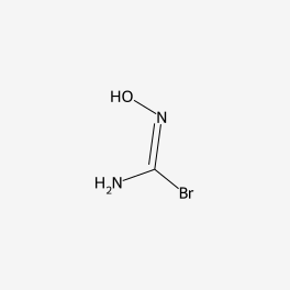 N/C(Br)=N\O